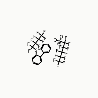 FC(F)(F)C(F)(F)C(F)(F)C(F)(F)[s+]1c2ccccc2c2ccccc21.O=S(=O)([O-])C(F)(F)C(F)(F)C(F)(F)C(F)(F)C(F)(F)F